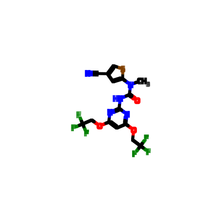 CN(C(=O)Nc1nc(OCC(F)(F)F)cc(OCC(F)(F)F)n1)c1cc(C#N)cs1